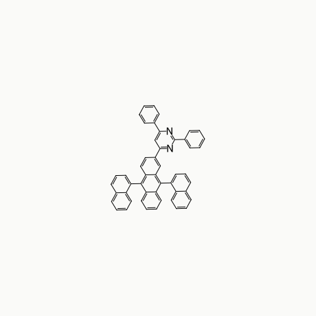 c1ccc(-c2cc(-c3ccc4c(-c5cccc6ccccc56)c5ccccc5c(-c5cccc6ccccc56)c4c3)nc(-c3ccccc3)n2)cc1